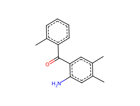 Cc1cc(N)c(C(=O)c2ccccc2C)cc1C